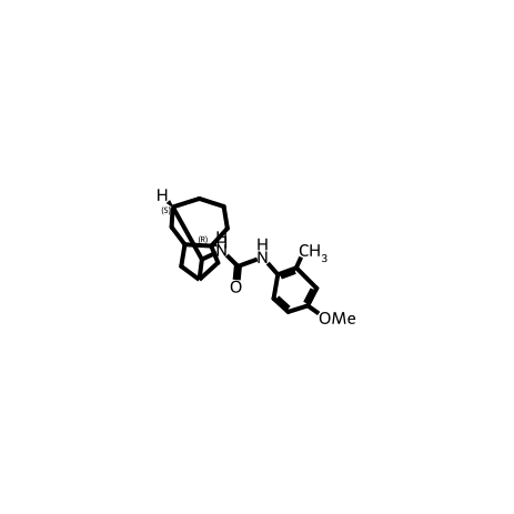 COc1ccc(NC(=O)NC2C3CC4C[C@@H]2CCC[C@@H]4C3)c(C)c1